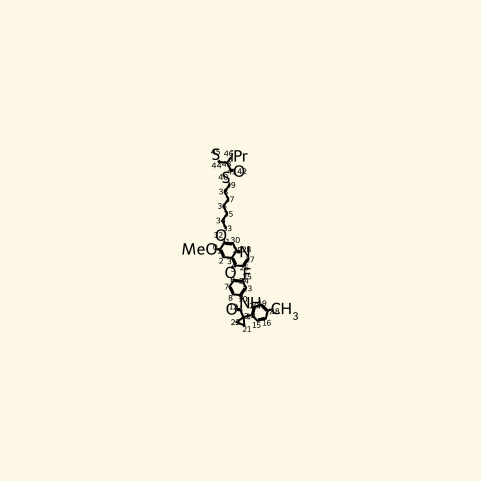 COc1cc2c(Oc3ccc(NC(=O)C4(c5ccc(C)cc5)CC4)cc3F)ccnc2cc1OCCCCCCCSC(=O)C(C=S)C(C)C